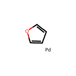 [Pd].c1ccoc1